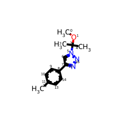 COC(C)(C)n1cc(-c2ccc(C)cc2)nn1